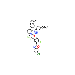 COc1ccc(C(NC2=NCC(F)(F)[C@@](C)(c3cc(-c4nc5ccc(Cl)cc5o4)c(F)cc3F)O2)(c2ccccc2)c2ccc(OC)cc2)cc1